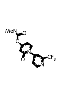 CNC(=O)Oc1ccn(-c2ccnc(C(F)(F)F)c2)c(=O)c1